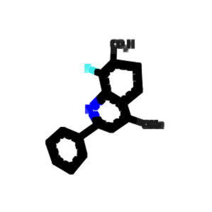 COc1cc(-c2ccccc2)nc2c(F)c(C(=O)O)ccc12